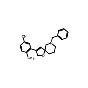 COc1ccc(C#N)cc1C1=CC2(CCCN(Cc3ccccc3)C2)OC1